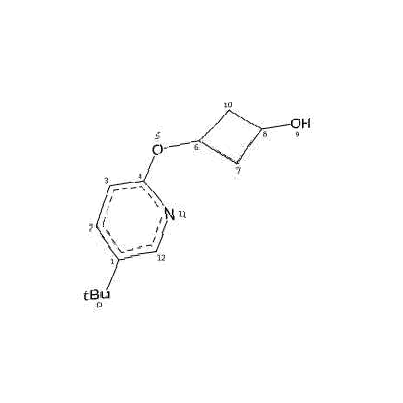 CC(C)(C)c1ccc(OC2CC(O)C2)nc1